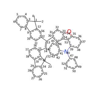 CC1(C)c2ccccc2-c2ccc(/C(=C\c3cccc4c3C(C)(C)c3ccccc3-4)c3ccc4oc5cccc(N(c6ccccc6)c6ccccc6)c5c4c3)cc21